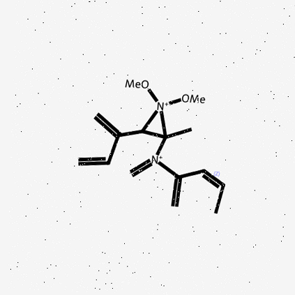 C=CC(=C)C1C(C)([N+](=C)C(=C)/C=C\C)[N+]1(OC)OC